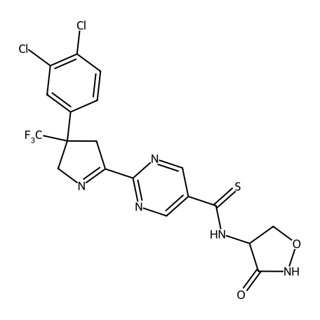 O=C1NOCC1NC(=S)c1cnc(C2=NCC(c3ccc(Cl)c(Cl)c3)(C(F)(F)F)C2)nc1